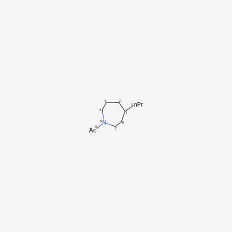 CCCC1CCCN(C(C)=O)CC1